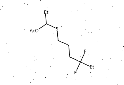 CCC(OC(C)=O)SCCCC(F)(F)CC